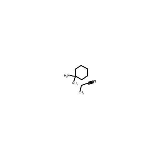 CCC#N.NC1(N)CCCCC1